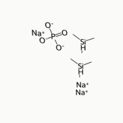 C[SiH](C)C.C[SiH](C)C.O=P([O-])([O-])[O-].[Na+].[Na+].[Na+]